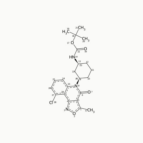 Cc1onc2c1c(=O)n([C@@H]1CCC[C@H](NC(=O)OC(C)(C)C)C1)c1cccc(Cl)c21